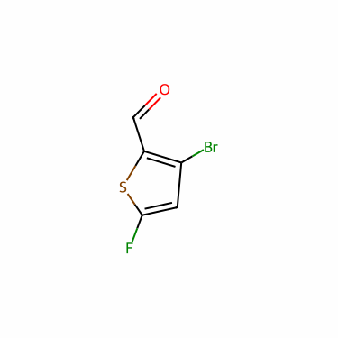 O=Cc1sc(F)cc1Br